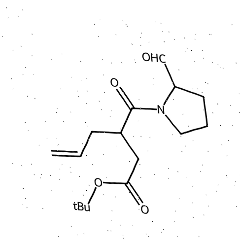 C=CCC(CC(=O)OC(C)(C)C)C(=O)N1CCCC1C=O